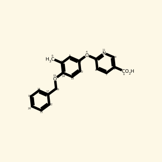 Cc1cc(Oc2ccc(C(=O)O)cn2)ccc1OCc1ccccc1